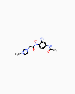 CC(=O)Nc1ccc(N(O)C(=O)Cn2cc[n+](C)c2)c(N)c1